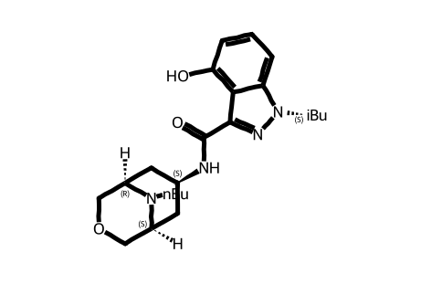 CCCCN1[C@@H]2COC[C@H]1C[C@@H](NC(=O)c1nn([C@@H](C)CC)c3cccc(O)c13)C2